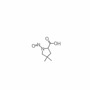 CC1(C)CC(C(=O)O)N(N=O)C1